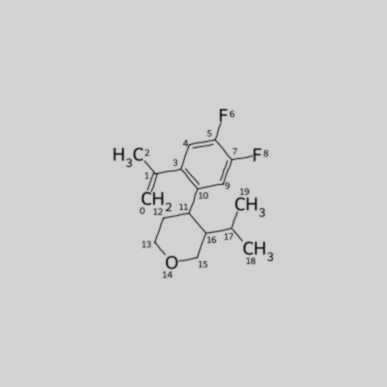 C=C(C)c1cc(F)c(F)cc1C1CCOCC1C(C)C